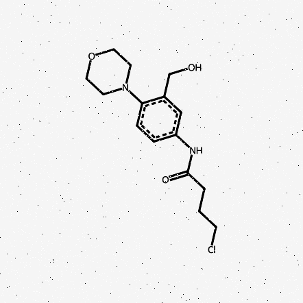 O=C(CCCCl)Nc1ccc(N2CCOCC2)c(CO)c1